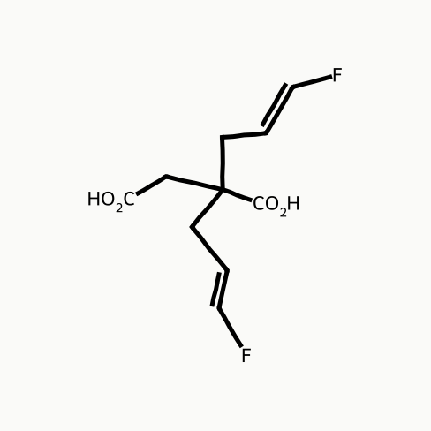 O=C(O)CC(CC=CF)(CC=CF)C(=O)O